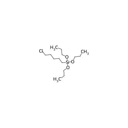 CCCO[Si](CCCCCCl)(OCCC)OCCC